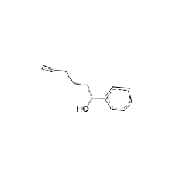 C#CCCCC(O)c1ccccc1